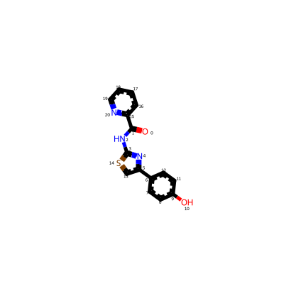 O=C(Nc1nc(-c2ccc(O)cc2)cs1)c1ccccn1